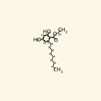 CCCCCCCCCc1cc(O)cc(O)c1C(=O)OCC